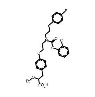 CCOC(Cc1ccc(OCCN(CCCc2ccc(F)cc2)C(=O)Oc2ccccc2Cl)cc1)C(=O)O